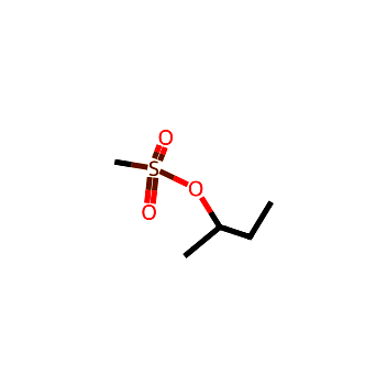 CC[C](C)OS(C)(=O)=O